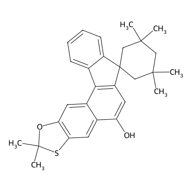 CC1(C)CC(C)(C)CC2(C1)c1ccccc1-c1c2cc(O)c2cc3c(cc12)OC(C)(C)S3